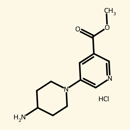 COC(=O)c1cncc(N2CCC(N)CC2)c1.Cl